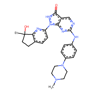 CCC1(O)CCc2ccc(-n3[nH]c(=O)c4cnc(Nc5ccc(N6CCN(C)CC6)cc5)nc43)nc21